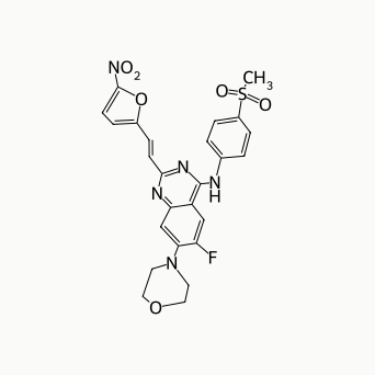 CS(=O)(=O)c1ccc(Nc2nc(C=Cc3ccc([N+](=O)[O-])o3)nc3cc(N4CCOCC4)c(F)cc23)cc1